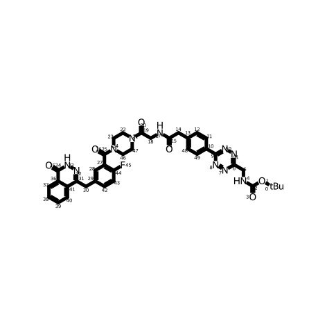 CC(C)(C)OC(=O)NCc1nnc(-c2ccc(CC(=O)NCC(=O)N3CCN(C(=O)c4cc(Cc5n[nH]c(=O)c6ccccc56)ccc4F)CC3)cc2)nn1